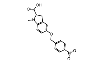 CN1c2ccc(OCc3ccc([N+](=O)[O-])cc3)cc2CC1C(=O)O